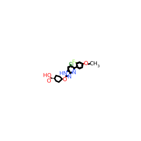 CCOc1ccc(-c2nc3nc(O[C@H]4CC[C@H](C(=O)O)CC4)[nH]c3cc2Cl)c(F)c1